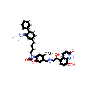 COc1cc2c(cc1CNC[C@@H](O)c1ccc(O)c3[nH]c(=O)ccc13)oc(=O)n2CCCCc1ccc(-c2ccccc2)c(NC(=O)O)c1